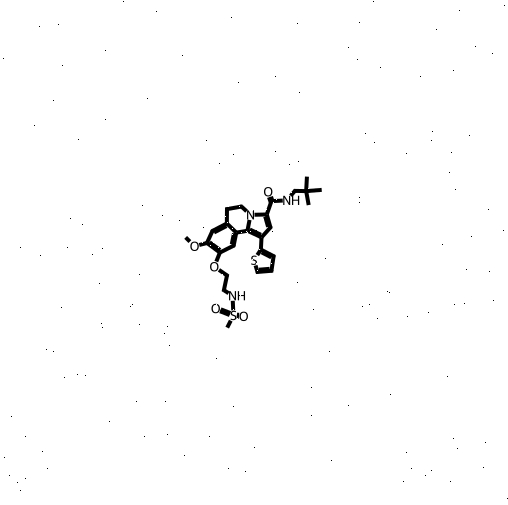 COc1cc2c(cc1OCCNS(C)(=O)=O)-c1c(-c3cccs3)cc(C(=O)NCC(C)(C)C)n1CC2